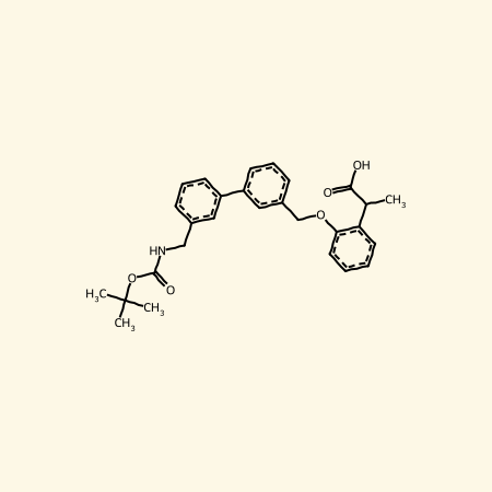 CC(C(=O)O)c1ccccc1OCc1cccc(-c2cccc(CNC(=O)OC(C)(C)C)c2)c1